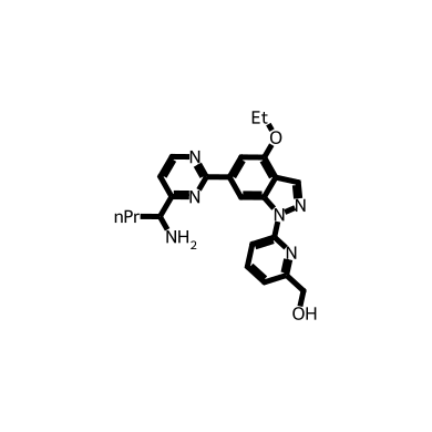 CCCC(N)c1ccnc(-c2cc(OCC)c3cnn(-c4cccc(CO)n4)c3c2)n1